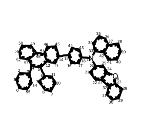 c1ccc(-c2c(-c3ccccc3)c3cc(-c4ccc(N(c5ccc6c(c5)oc5ccccc56)c5cccc6ccccc56)cc4)ccc3c3ccccc23)cc1